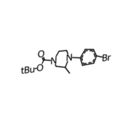 CC1CN(C(=O)OC(C)(C)C)CCN1c1ccc(Br)cc1